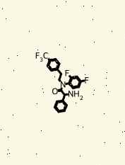 NC(C(=O)N(CCc1ccc(C(F)(F)F)cc1)c1ccc(F)cc1F)c1ccccc1